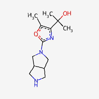 Cc1oc(N2CC3CNCC3C2)nc1C(C)(C)O